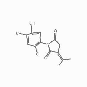 CC(C)=C1CC(=O)N(c2cc(O)c(Cl)cc2Cl)C1=O